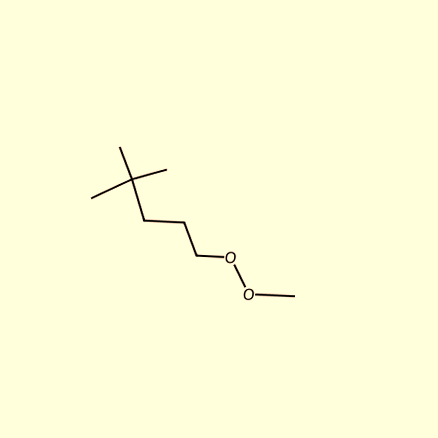 COOCCCC(C)(C)C